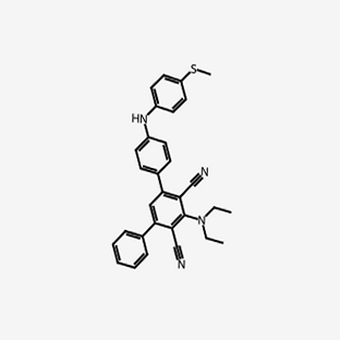 CCN(CC)c1c(C#N)c(-c2ccccc2)cc(-c2ccc(Nc3ccc(SC)cc3)cc2)c1C#N